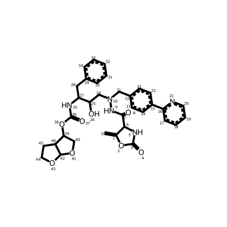 C=C1OC(=O)NC1C(=O)NN(Cc1ccc(-c2ccccn2)cc1)CC(O)C(Cc1ccccc1)NC(=O)OC1COC2OCCC12